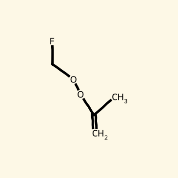 C=C(C)OOCF